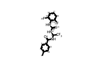 Cc1ccc(C(=O)NC(NC(=S)Nc2c(F)cccc2F)C(F)(F)F)cc1